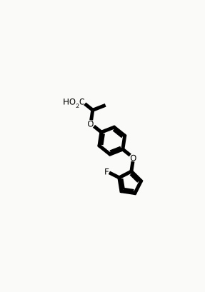 CC(Oc1ccc(OC2=CC=C=C2F)cc1)C(=O)O